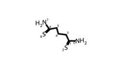 NC(=S)CCCC(N)=S